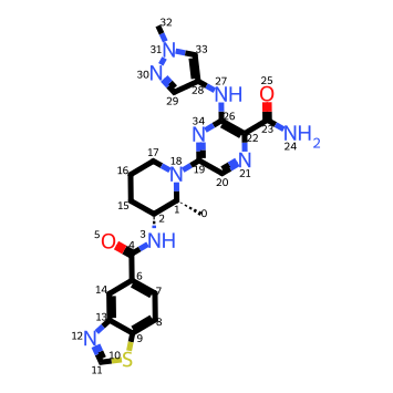 C[C@@H]1[C@H](NC(=O)c2ccc3scnc3c2)CCCN1c1cnc(C(N)=O)c(Nc2cnn(C)c2)n1